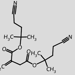 C=C(CC(=O)OC(C)(C)CCC#N)C(=O)OC(C)(C)CCC#N